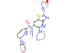 O=C(Nc1cc2sc(N3CCOCC3)nc2nc1N1CCCCC1)c1cccc(N2CC3CC2CO3)n1